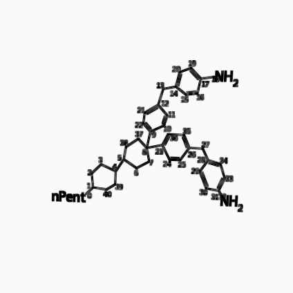 CCCCCC1CCC(C2CCC(c3ccc(Cc4ccc(N)cc4)cc3)(c3ccc(Cc4ccc(N)cc4)cc3)CC2)CC1